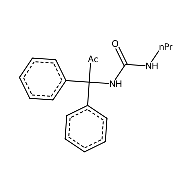 CCCNC(=O)NC(C(C)=O)(c1ccccc1)c1ccccc1